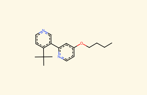 CCCCOc1ccnc(-c2[c]nccc2C(C)(C)C)c1